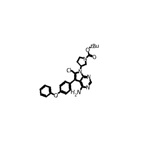 CC(C)(C)OC(=O)N1CCC(n2c(Cl)c(-c3ccc(Oc4ccccc4)cc3)c3c(N)ncnc32)C1